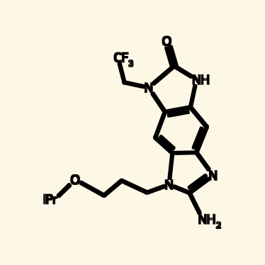 CC(C)OCCCn1c(N)nc2cc3[nH]c(=O)n(CC(F)(F)F)c3cc21